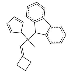 [CH3][Zr]([CH]=C1CCC1)([CH]1C=CC=C1)[CH]1c2ccccc2-c2ccccc21